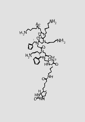 CC(=O)N(CCCCN)CC(=O)N(CCCCN)CC(=O)N(CCCCN)CC(=O)N(CC(=O)N(CCCCN)CC(=O)N(CC(=O)N[C@@H](CCCCNC(=O)CCCCC1SC[C@]2(C)NC(=O)N[C@H]12)C(N)=O)[C@@H](C)c1ccccc1)[C@@H](C)c1ccccc1